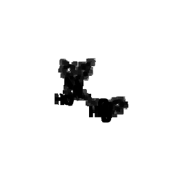 Cc1ccc(-c2nc3c(nc2-c2ccc(C)cc2)N(CCCCCCC(=O)NS(=O)(=O)Cc2ccccc2)CC(O)C3)cc1